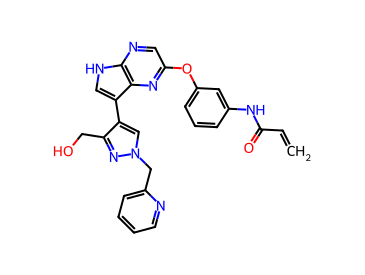 C=CC(=O)Nc1cccc(Oc2cnc3[nH]cc(-c4cn(Cc5ccccn5)nc4CO)c3n2)c1